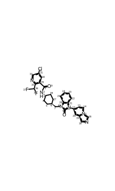 O=C(N[C@H]1CC[C@H](Cn2c(=O)n(-c3ccn4cncc4c3)c3ccccc32)CC1)c1cc(Cl)cnc1C(F)F